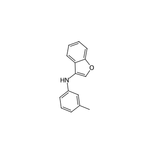 Cc1cccc(Nc2coc3ccccc23)c1